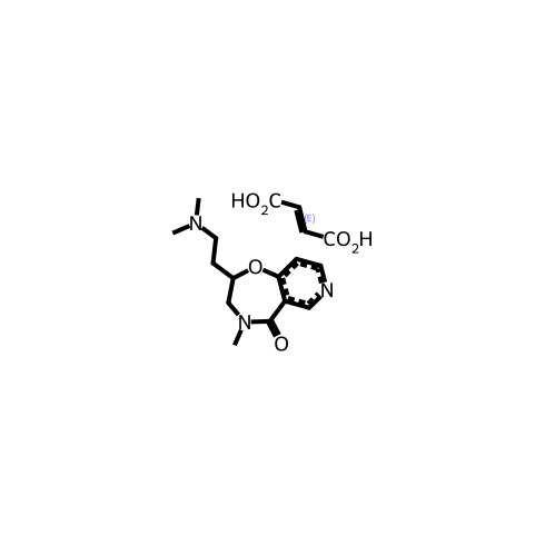 CN(C)CCC1CN(C)C(=O)c2cnccc2O1.O=C(O)/C=C/C(=O)O